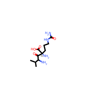 CC(C)C(N)C(=O)[C@@](N)(CCCNC(N)=O)C(=O)O